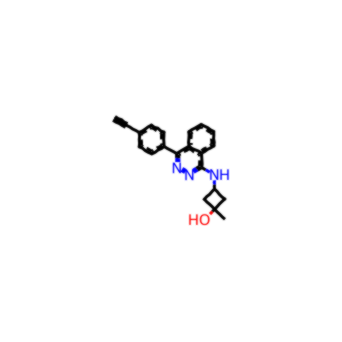 C#Cc1ccc(-c2nnc(NC3CC(C)(O)C3)c3ccccc23)cc1